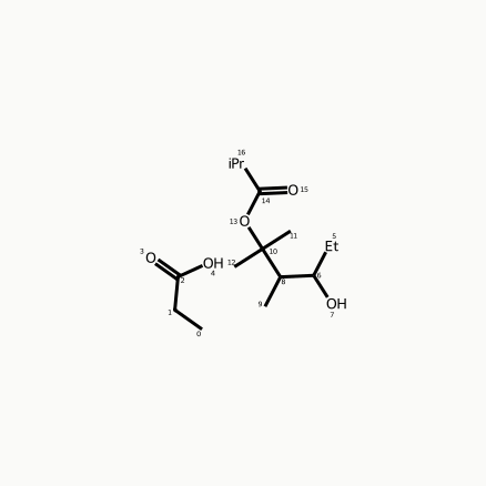 CCC(=O)O.CCC(O)C(C)C(C)(C)OC(=O)C(C)C